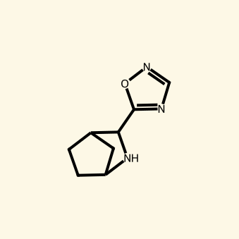 c1noc(C2NC3CCC2C3)n1